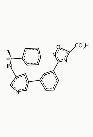 C[C@H](Nc1cncc(-c2cccc(-c3noc(C(=O)O)n3)c2)c1)c1ccccc1